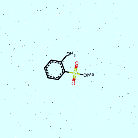 COS(=O)(=O)c1ccccc1[SiH3]